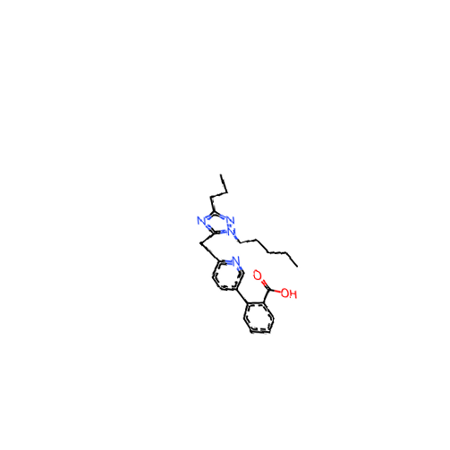 CCCCCn1nc(CCC)nc1Cc1ccc(-c2ccccc2C(=O)O)cn1